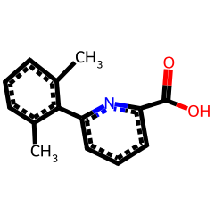 Cc1cccc(C)c1-c1cccc(C(=O)O)n1